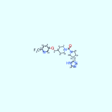 O=C(N1CCC(COc2ccc(C(F)(F)F)nc2)CC1)N1CC[C@H](c2nnc[nH]2)C1